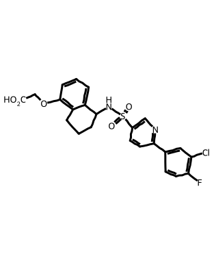 O=C(O)COc1cccc2c1CCCC2NS(=O)(=O)c1ccc(-c2ccc(F)c(Cl)c2)nc1